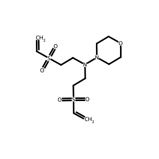 C=CS(=O)(=O)CCN(CCS(=O)(=O)C=C)N1CCOCC1